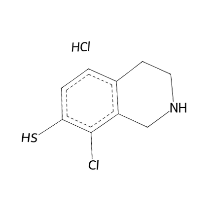 Cl.Sc1ccc2c(c1Cl)CNCC2